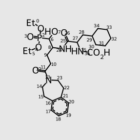 CCOP(=O)(OCC)C(O)C(CCC(=O)N1CCc2ccccc2CC1)NC(=O)C(CC1CCCCC1)NC(=O)O